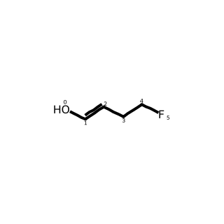 OC=CCCF